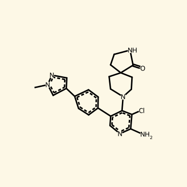 Cn1cc(-c2ccc(-c3cnc(N)c(Cl)c3N3CCC4(CCNC4=O)CC3)cc2)cn1